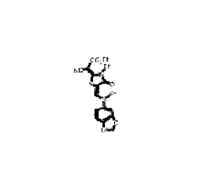 CCOC(=O)C(C#N)=c1sc(=CN(CC)c2ccc3c(c2)OCO3)c(=O)n1CC